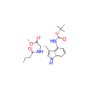 CCCC(=O)N[C@@H](Cc1c[nH]c2cccc(NC(=O)OC(C)(C)C)c12)C(=O)OC